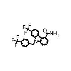 NC(=O)c1cccc2c1c1[c]cc(C(F)(F)F)cc1n2Cc1ccc(C(F)(F)F)cc1